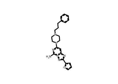 Nc1nc(N2CCN(CCCc3ccccc3)CC2)cc2nc(-c3ccco3)nn12